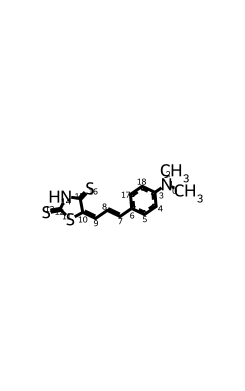 CN(C)c1ccc(C=CC=C2SC(=S)NC2=S)cc1